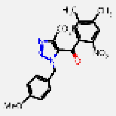 CCOC(=O)c1nnn(Cc2ccc(OC)cc2)c1C(=O)c1cc(C)c(C)cc1[N+](=O)[O-]